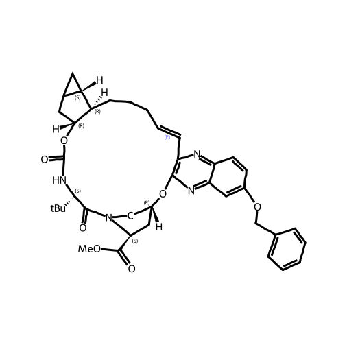 COC(=O)[C@@H]1C[C@@H]2CN1C(=O)[C@H](C(C)(C)C)NC(=O)O[C@@H]1CC3C[C@@H]3[C@H]1CCC/C=C/c1nc3ccc(OCc4ccccc4)cc3nc1O2